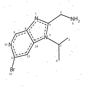 CC(C)n1c(CN)nc2cnc(Br)cc21